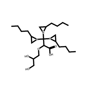 CCCCC1CN1C(C(OCC(O)CO)C(=O)O)(N1CC1CCCC)N1CC1CCCC